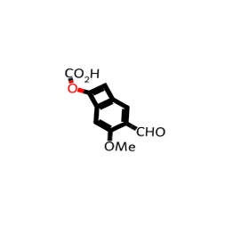 COc1cc2c(cc1C=O)C=C2OC(=O)O